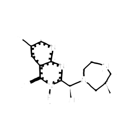 CCC[C@@H](c1nc2ncc(Br)cc2c(=O)n1CC)N1CCNC[C@@H](C)C1